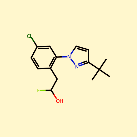 CC(C)(C)c1ccn(-c2cc(Cl)ccc2CC(O)F)n1